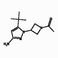 CC(=O)N1CC(n2nc(N)cc2C(C)(C)C)C1